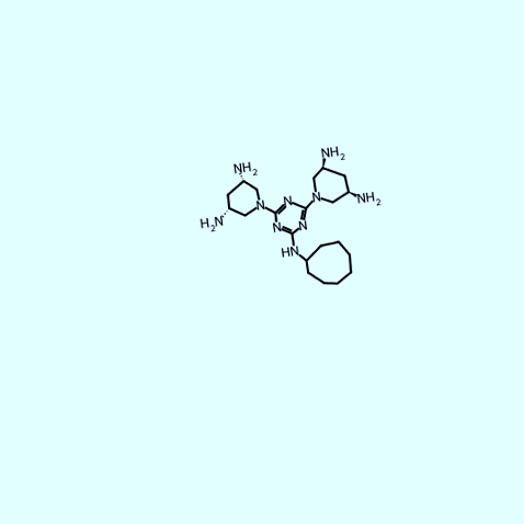 N[C@@H]1C[C@H](N)CN(c2nc(NC3CCCCCCC3)nc(N3C[C@H](N)C[C@H](N)C3)n2)C1